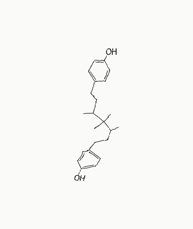 CC(CCc1ccc(O)cc1)C(C)(C)C(C)CCc1ccc(O)cc1